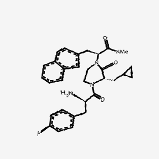 CNC(=O)[C@H](Cc1ccc2ccccc2c1)N1CCN(C(=O)[C@H](N)Cc2ccc(F)cc2)[C@@H](CC2CC2)C1=O